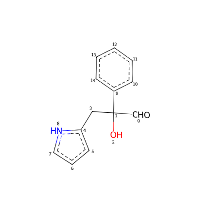 O=CC(O)(Cc1ccc[nH]1)c1ccccc1